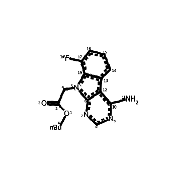 CCCCOC(=O)Cn1c2ncnc(N)c2c2cccc(F)c21